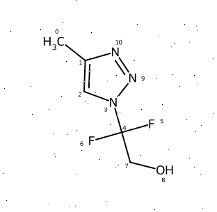 Cc1cn(C(F)(F)CO)nn1